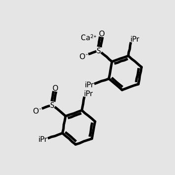 CC(C)c1cccc(C(C)C)c1S(=O)[O-].CC(C)c1cccc(C(C)C)c1S(=O)[O-].[Ca+2]